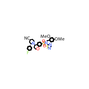 COc1ccc(CN(c2ncns2)S(=O)(=O)c2ccc3c(c2)OCC[C@@H]3N2CC[C@@H](C#N)C[C@H]2c2ccc(F)cc2)c(OC)c1